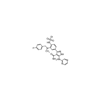 CCS(=O)(=O)Nc1ccc(-c2n[nH]c(Nc3cnccn3)c2C(N)=O)cc1N(C)Cc1ccc(F)cc1